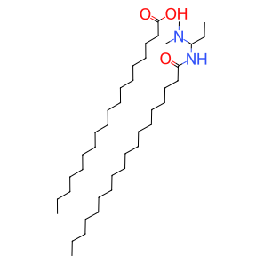 CCCCCCCCCCCCCCCCCC(=O)NC(CC)N(C)C.CCCCCCCCCCCCCCCCCC(=O)O